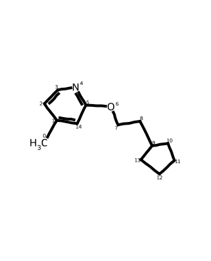 Cc1ccnc(OCCC2CCCC2)c1